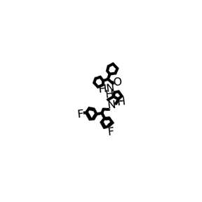 O=C(N[C@@H]1CC[C@H]2CN(CCC(c3ccc(F)cc3)c3ccc(F)cc3)C[C@H]21)C(C1CCCCC1)C1CCCCC1